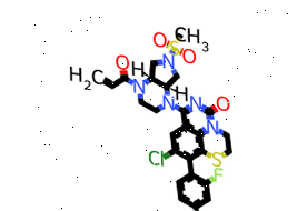 C=CC(=O)N1CCN(c2nc(=O)n3c4c(c(-c5ccc(F)cc5F)c(Cl)cc24)SCC3)[C@@H]2CN(S(C)(=O)=O)C[C@@H]21